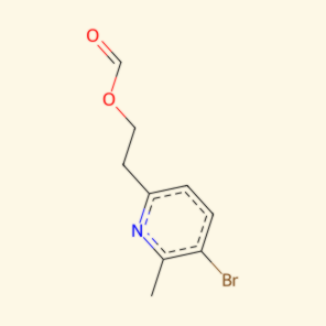 Cc1nc(CCOC=O)ccc1Br